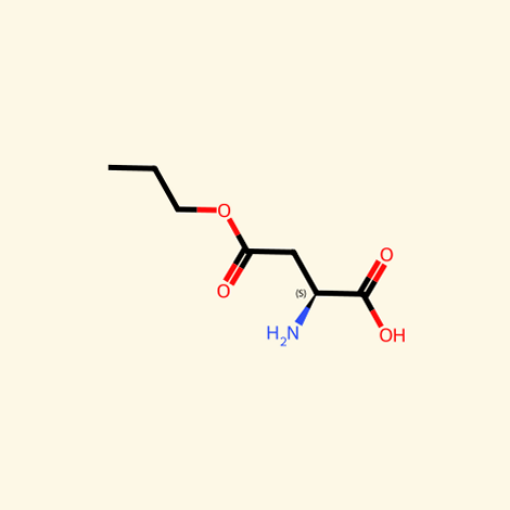 CCCOC(=O)C[C@H](N)C(=O)O